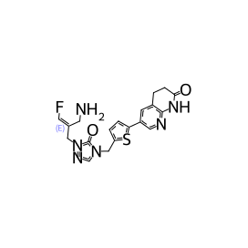 NC/C(=C\F)Cn1ncn(Cc2ccc(-c3cnc4c(c3)CCC(=O)N4)s2)c1=O